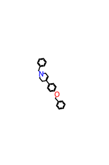 C1=C(c2ccc(OCc3ccccc3)cc2)CCN(Cc2ccccc2)C1